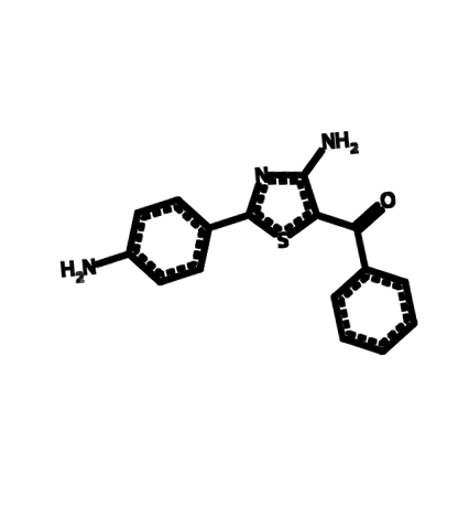 Nc1ccc(-c2nc(N)c(C(=O)c3ccccc3)s2)cc1